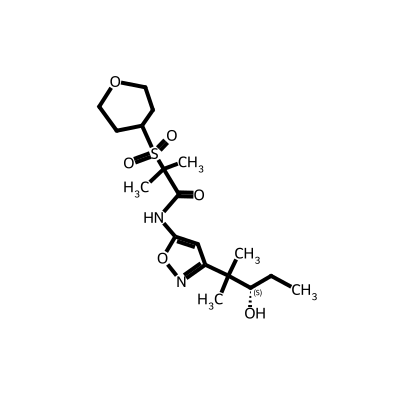 CC[C@H](O)C(C)(C)c1cc(NC(=O)C(C)(C)S(=O)(=O)C2CCOCC2)on1